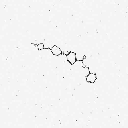 CN1CC(N2CCN(c3ccc(C(=O)OCc4ccccc4)cc3)CC2)C1